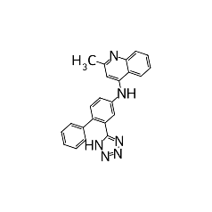 Cc1cc(Nc2ccc(-c3ccccc3)c(-c3nnn[nH]3)c2)c2ccccc2n1